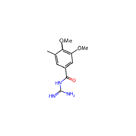 COc1cc(C(=O)NC(=N)N)cc(C)c1OC